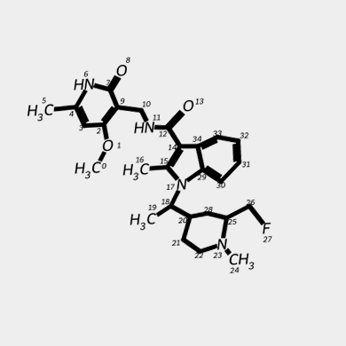 COc1cc(C)[nH]c(=O)c1CNC(=O)c1c(C)n(C(C)C2CCN(C)C(CF)C2)c2ccccc12